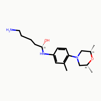 Cc1cc(N[C@@H](O)CCCCN)ccc1N1C[C@@H](C)O[C@@H](C)C1